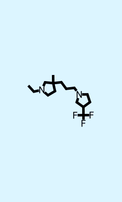 CCN1CCC(C)(CCCN2CCC(C(F)(F)F)C2)C1